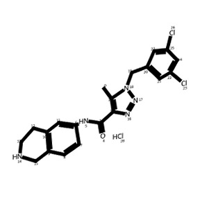 Cc1c(C(=O)Nc2ccc3c(c2)CCNC3)nnn1Cc1cc(Cl)cc(Cl)c1.Cl